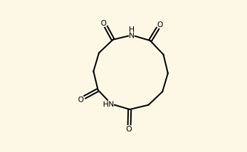 O=C1CCCCC(=O)NC(=O)CCC(=O)N1